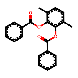 Cc1ccc(C)c(OC(=O)c2ccccc2)c1OC(=O)c1ccccc1